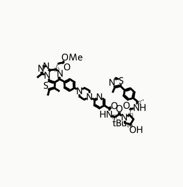 COC(=O)C[C@@H]1N=C(c2ccc(N3CCN(c4ccc(C(=O)N[C@H](C(=O)N5C[C@H](O)C[C@H]5C(=O)N[C@@H](C)c5ccc(-c6scnc6C)cc5)C(C)(C)C)cn4)CC3)cc2)c2c(sc(C)c2C)-n2c(C)nnc21